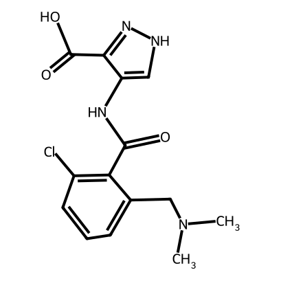 CN(C)Cc1cccc(Cl)c1C(=O)Nc1c[nH]nc1C(=O)O